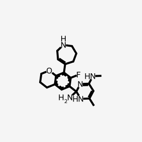 CNC1=NC(N)(c2cc3c(c(C4=CCNCCC4)c2F)OCCC3)NC(C)=C1